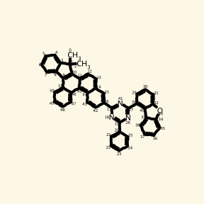 CC1(C)c2ccccc2-c2c1c1ccc3cc(-c4nc(-c5ccccc5)nc(-c5cccc6oc7ccccc7c56)n4)ccc3c1c1ccccc21